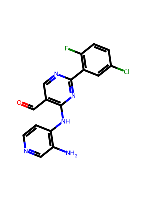 Nc1cnccc1Nc1nc(-c2cc(Cl)ccc2F)ncc1C=O